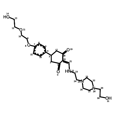 O=C1CC(c2ccc(OCCOCCO)cc2)CC(=O)C1=CNCCN1CCN(CCO)CC1